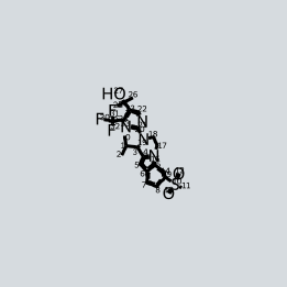 CC(C)C1c2cc3ccc(S(C)(=O)=O)cc3n2CCN1c1ncc(C(C)(C)O)c(C(F)(F)F)n1